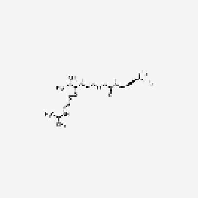 CC(C)C#CCNC(=O)COCCNC(SSCCNC(C)C)C(C)C